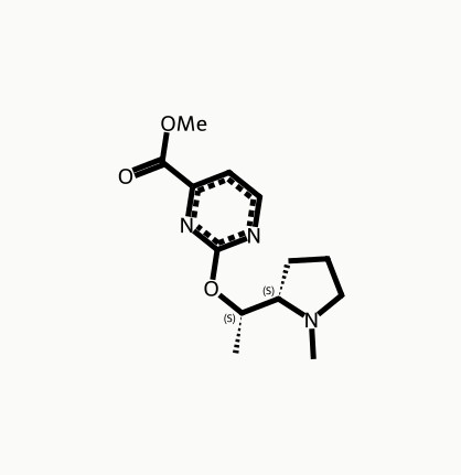 COC(=O)c1ccnc(O[C@@H](C)[C@@H]2CCCN2C)n1